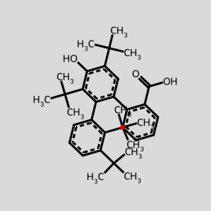 CC(C)(C)c1cc(-c2ccccc2C(=O)O)c(-c2cccc(C(C)(C)C)c2C(C)(C)C)c(C(C)(C)C)c1O